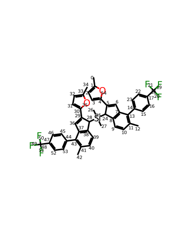 Cc1ccc(C2=Cc3c(ccc(C)c3-c3ccc(C(F)(F)F)cc3)C2[Si](C)(C)C2C(c3ccc(C)o3)=Cc3c2ccc(C)c3-c2ccc(C(F)(F)F)cc2)o1